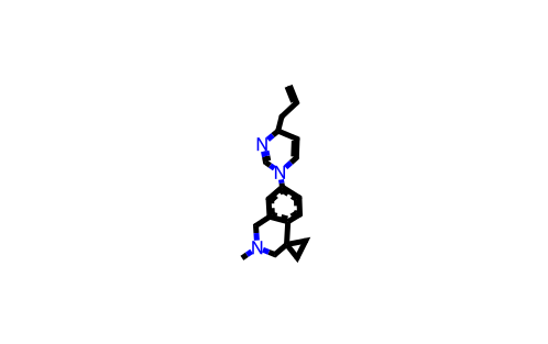 C=CCC1C=CN(c2ccc3c(c2)CN(C)CC32CC2)C=N1